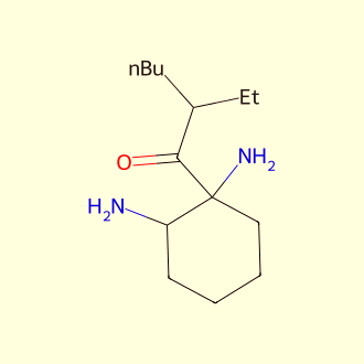 CCCCC(CC)C(=O)C1(N)CCCCC1N